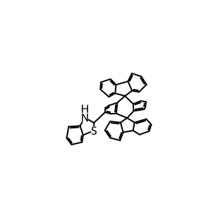 C1=CCC2C(=C1)C1(c3ccccc32)c2ccccc2C2(c3ccccc3-c3ccccc32)c2ccc(C3Nc4ccccc4S3)cc21